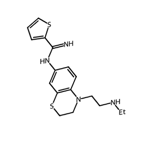 CCNCCN1CCSc2cc(NC(=N)c3cccs3)ccc21